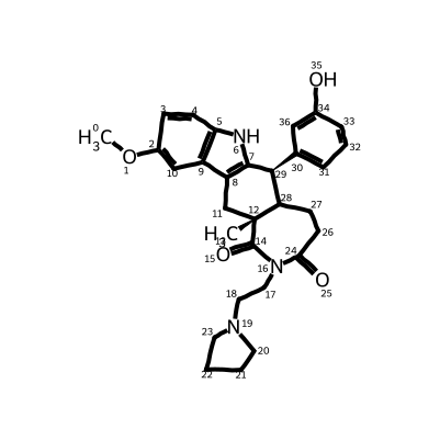 COc1ccc2[nH]c3c(c2c1)C[C@@]1(C)C(=O)N(CCN2CCCC2)C(=O)CCC1[C@@H]3c1cccc(O)c1